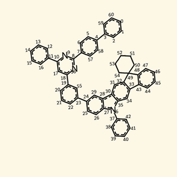 c1ccc(-c2ccc(-c3nc(-c4ccccc4)cc(-c4cccc(-c5ccc6c(c5)c5cc7c(cc5n6-c5ccccc5)-c5ccccc5C75CCCCC5)c4)n3)cc2)cc1